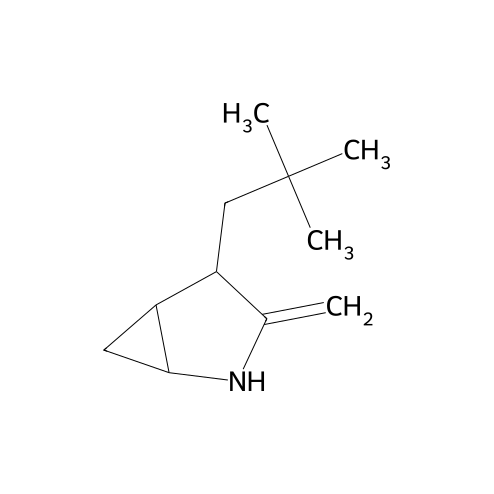 C=C1NC2CC2C1CC(C)(C)C